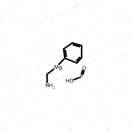 N[CH2][Mg][c]1ccccc1.O=PO